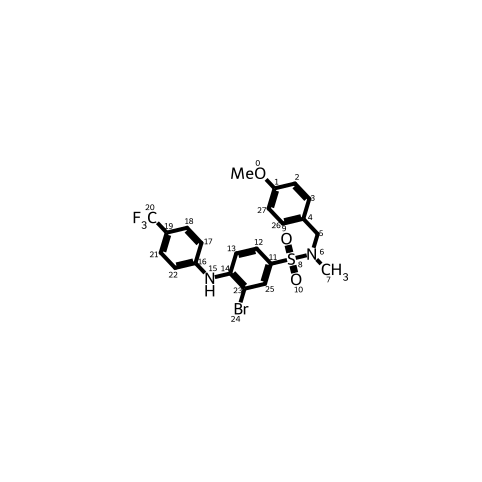 COc1ccc(CN(C)S(=O)(=O)c2ccc(Nc3ccc(C(F)(F)F)cc3)c(Br)c2)cc1